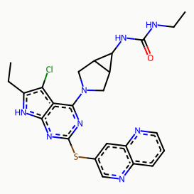 CCNC(=O)NC1C2CN(c3nc(Sc4cnc5cccnc5c4)nc4[nH]c(CC)c(Cl)c34)CC21